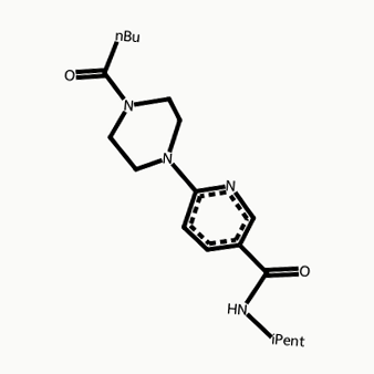 CCCCC(=O)N1CCN(c2ccc(C(=O)NC(C)CCC)cn2)CC1